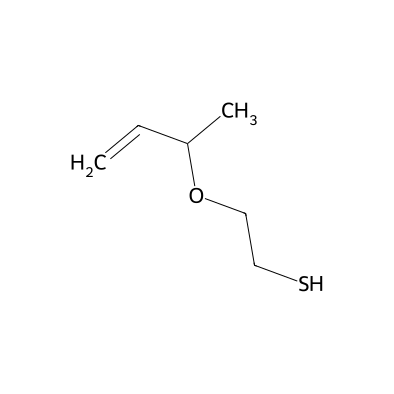 C=CC(C)OCCS